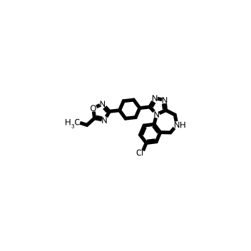 CCc1nc(C2CCC(c3nnc4n3-c3ccc(Cl)cc3CNC4)CC2)no1